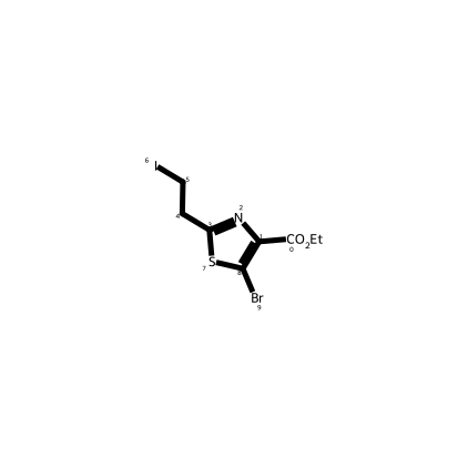 CCOC(=O)c1nc(CCI)sc1Br